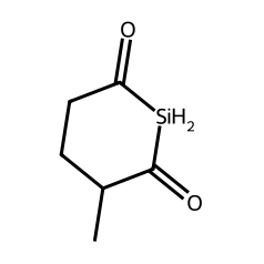 CC1CCC(=O)[SiH2]C1=O